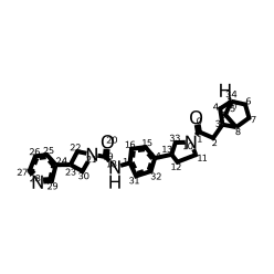 O=C(CC1C[C@@H]2CCC1C2)N1CCC(c2ccc(NC(=O)N3CC(c4cccnc4)C3)cc2)C1